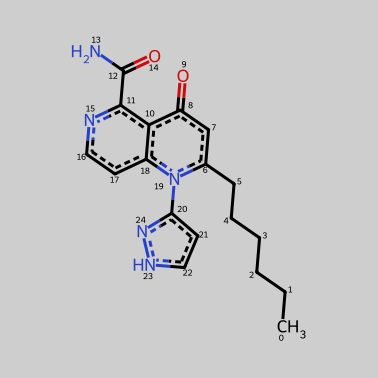 CCCCCCc1cc(=O)c2c(C(N)=O)nccc2n1-c1cc[nH]n1